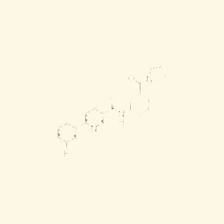 O=C(NC1CCCC(C(=O)N2CCCC2)C1)c1ccc(-c2cccc(F)c2)nc1